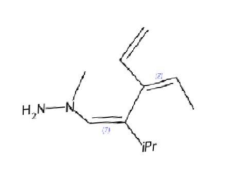 C=CC(=C/C)/C(=C\N(C)N)C(C)C